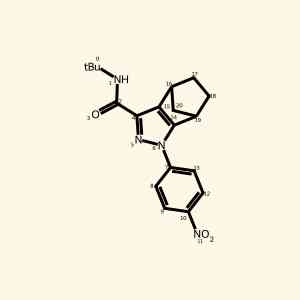 CC(C)(C)NC(=O)c1nn(-c2ccc([N+](=O)[O-])cc2)c2c1C1CCC2C1